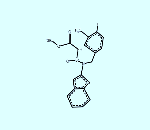 CC(C)(C)OC(=O)N[S+]([O-])N(Cc1ccc(F)c(C(F)(F)F)c1)c1cc2ccccc2s1